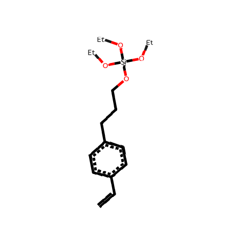 C=Cc1ccc(CCCO[Si](OCC)(OCC)OCC)cc1